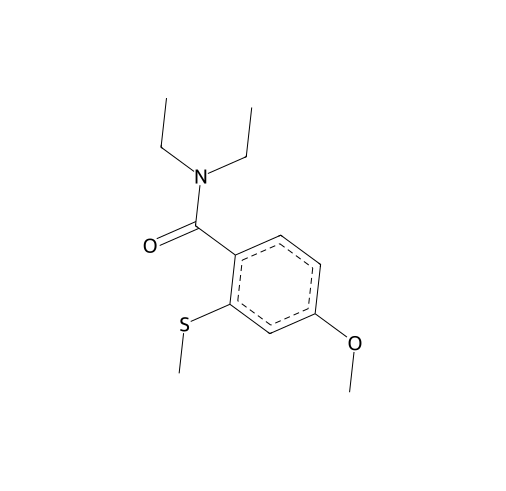 CCN(CC)C(=O)c1ccc(OC)cc1SC